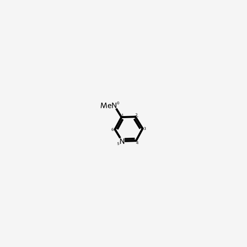 CNc1[c]ccnc1